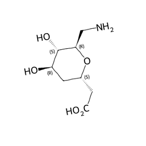 NC[C@H]1O[C@H](CC(=O)O)C[C@@H](O)[C@@H]1O